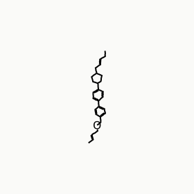 CC=CCOCc1ccc(-c2ccc(C3CCC(CC=CCC)CC3)cc2)cc1